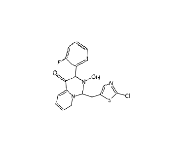 O=C1C2=CC=CCN2C(Cc2cnc(Cl)s2)N(O)C1c1ccccc1F